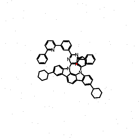 c1ccc(-c2cccc(-c3cccc(-c4nc(-c5ccccc5)nc(-n5c6ccc(C7CCCCC7)cc6c6ccc7c8cc(C9CCCCC9)ccc8n(-c8ccccc8)c7c65)n4)c3)n2)cc1